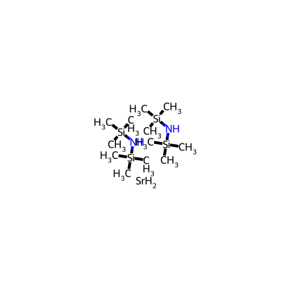 C[Si](C)(C)N[Si](C)(C)C.C[Si](C)(C)N[Si](C)(C)C.[SrH2]